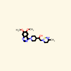 COc1cc2ncnc(N3CCC(C(O)CN4CCC(C)NS4)CC3)c2cc1OC